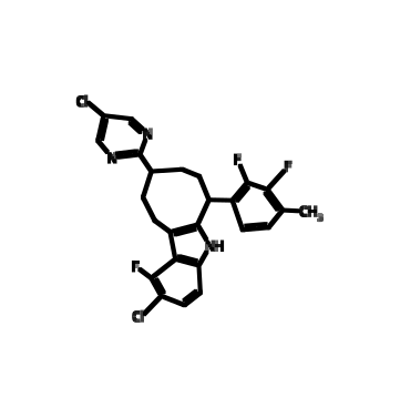 Cc1ccc(C2CCC(c3ncc(Cl)cn3)CCc3c2[nH]c2ccc(Cl)c(F)c32)c(F)c1F